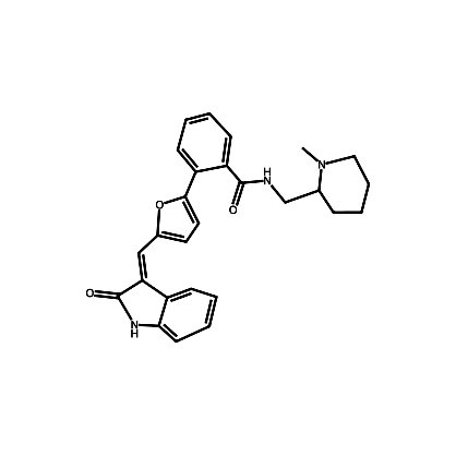 CN1CCCCC1CNC(=O)c1ccccc1-c1ccc(/C=C2/C(=O)Nc3ccccc32)o1